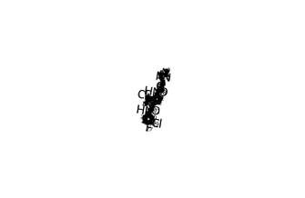 Cn1cnc(COC(=O)NC2CCc3c2c(Cl)n(C)c3C(=O)Nc2ccc(F)c(Cl)c2)n1